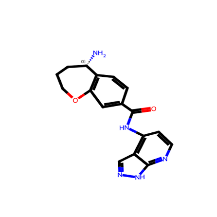 N[C@H]1CCCOc2cc(C(=O)Nc3ccnc4[nH]ncc34)ccc21